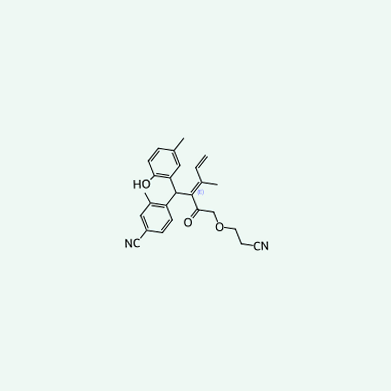 C=C/C(C)=C(/C(=O)COCCC#N)C(c1ccc(C#N)cc1C)c1cc(C)ccc1O